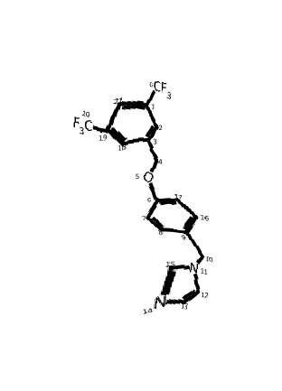 FC(F)(F)c1cc(COc2ccc(Cn3ccnc3)cc2)cc(C(F)(F)F)c1